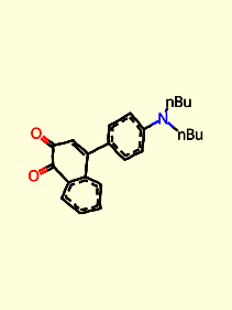 CCCCN(CCCC)c1ccc(C2=CC(=O)C(=O)c3ccccc32)cc1